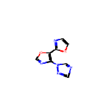 [c]1nc(-n2cncn2)c(-c2ncco2)o1